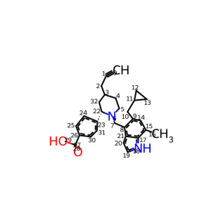 C#CCC1CCN(Cc2c(CC3CC3)cc(C)c3[nH]ccc23)[C@H](c2ccc(C(=O)O)cc2)C1